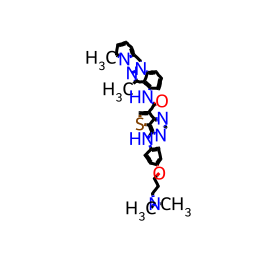 Cc1cccc(Cn2nc(C)c3c(NC(=O)c4csc5c(Nc6ccc(OCCCN(C)C)cc6)ncnc45)cccc32)n1